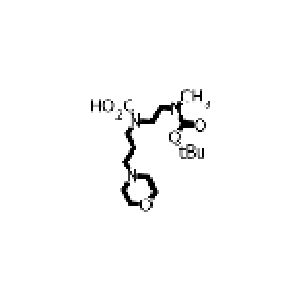 CN(CCN(CCCN1CCOCC1)C(=O)O)C(=O)OC(C)(C)C